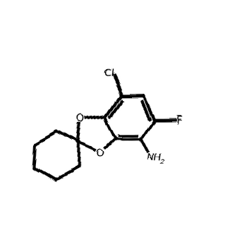 Nc1c(F)cc(Cl)c2c1OC1(CCCCC1)O2